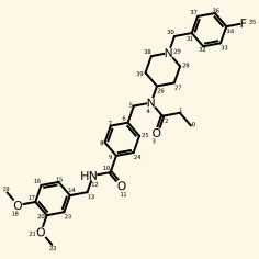 CCC(=O)N(Cc1ccc(C(=O)NCc2ccc(OC)c(OC)c2)cc1)C1CCN(Cc2ccc(F)cc2)CC1